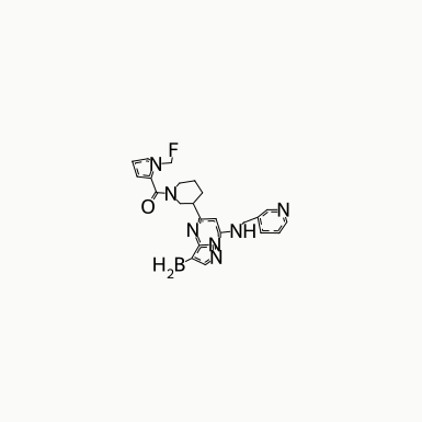 Bc1cnn2c(NCc3cccnc3)cc(C3CCCN(C(=O)c4cccn4CF)C3)nc12